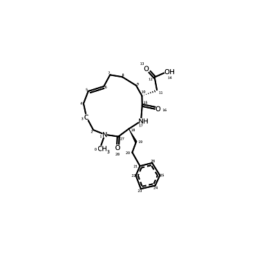 CN1CCC/C=C/CCC[C@H](CC(=O)O)C(=O)N[C@@H](CCc2ccccc2)C1=O